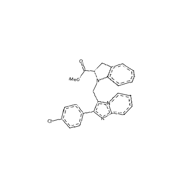 COC(=O)C1Cc2ccccc2N1Cc1c(-c2ccc(Cl)cc2)nc2ccccn12